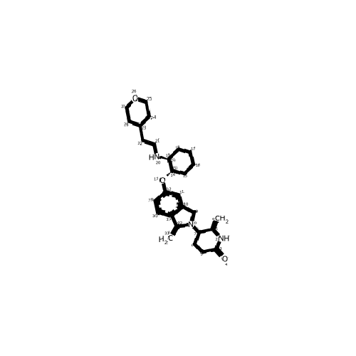 C=C1NC(=O)CCC1N1Cc2cc(O[C@H]3CCCC[C@@H]3NCCC3CCOCC3)ccc2C1=C